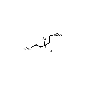 CCCCCCCCCCCCC(CCCCCCCCCCCC)(C(C)=O)C(=O)O